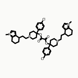 Cn1ccc2c1CCCC2CCN1CCC(OC(=O)C(=O)OC2(c3ccc(Cl)cc3)CCN(CCC3CCCc4c3ccn4C)CC2)(c2ccc(Cl)cc2)CC1